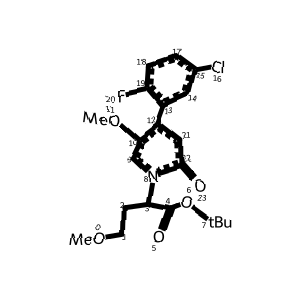 COCCC(C(=O)OC(C)(C)C)n1cc(OC)c(-c2cc(Cl)ccc2F)cc1=O